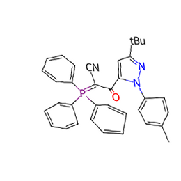 Cc1ccc(-n2nc(C(C)(C)C)cc2C(=O)C(C#N)=P(c2ccccc2)(c2ccccc2)c2ccccc2)cc1